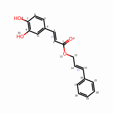 O=C(/C=C/c1ccc(O)c(O)c1)OC/C=C/c1ccccc1